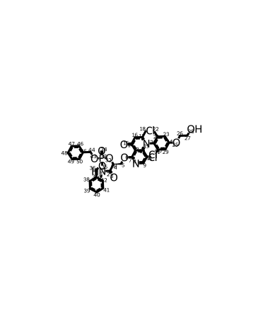 CNC(=O)[C@H](COc1ncc(Cl)c2c1c(=O)cc(C)n2-c1c(Cl)cc(OCCO)cc1Cl)OP(=O)(OCc1ccccc1)OCc1ccccc1